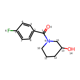 O=C(c1ccc(F)cc1)N1CCCC(O)C1